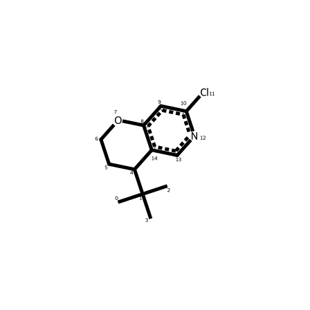 CC(C)(C)C1CCOc2cc(Cl)ncc21